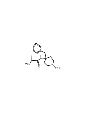 COC(C)C(=O)NC1(Cc2ccccn2)CCN(C(=O)O)CC1